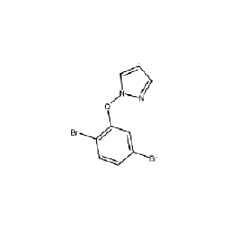 Brc1ccc(Br)c(On2c[c]cn2)c1